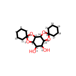 OC1C(O)C2OC3(CCCCC3)OC2C2OC3(CCCCC3)OC12